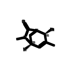 CC[C@@H]1C(C)=C[C@@H]2CN1C(=O)N2C